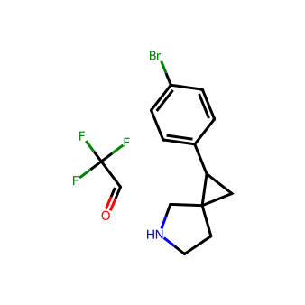 Brc1ccc(C2CC23CCNC3)cc1.O=CC(F)(F)F